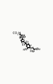 CCCc1cc(C(CC)(CC)c2ccc(S(=O)(=O)NCC(=O)O)s2)ccc1OCC(O)C(C)(C)C